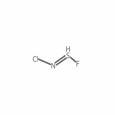 F[SH]=NCl